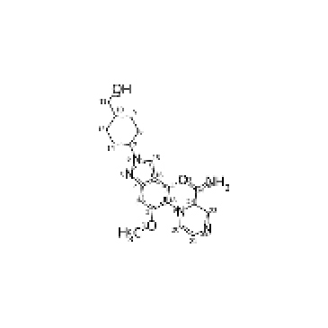 COc1cc2nn(C3CCC(CO)CC3)cc2cc1N1C=CN=CC1C(N)=O